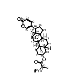 CC(C)[C@H](C)C(=O)O[C@H]1CC[C@@]2(C)[C@H](CC[C@@H]3[C@@H]2CC[C@]2(C)[C@@H](c4ccc(=O)oc4)CC[C@]32O)C1